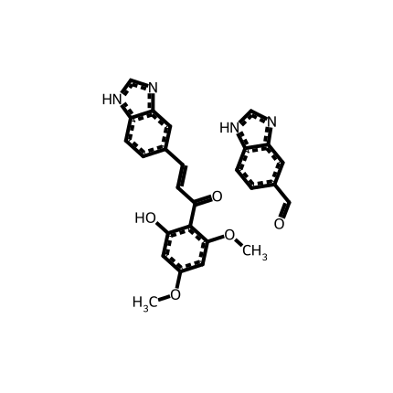 COc1cc(O)c(C(=O)C=Cc2ccc3[nH]cnc3c2)c(OC)c1.O=Cc1ccc2[nH]cnc2c1